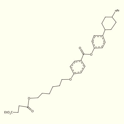 CCCC1CCC(c2ccc(OC(=O)c3ccc(OCCCCCCOC(=O)CCC(=O)OCC)cc3)cc2)CC1